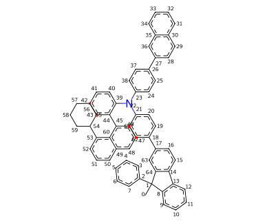 CC1(c2ccccc2)c2ccccc2-c2ccc(-c3ccc(N(c4ccc(-c5ccc6ccccc6c5)cc4)c4ccccc4-c4cccc5cccc(C6CCCCC6)c45)cc3)cc21